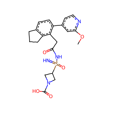 COc1cc(-c2ccc3c(c2CC(=O)NS(=N)(=O)C2CN(C(=O)O)C2)CCC3)ccn1